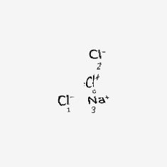 [Cl+].[Cl-].[Cl-].[Na+]